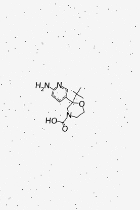 CC(C)(C)C1(c2ccc(N)nc2)CN(C(=O)O)CCO1